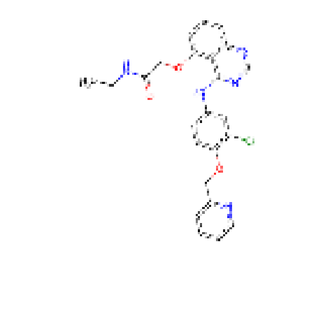 CCNC(=O)COc1cccc2ncnc(Nc3ccc(OCc4ccccn4)c(Cl)c3)c12